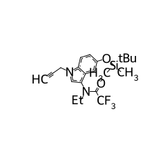 C#CCn1cc(N(CC)C(=O)C(F)(F)F)c2cc(O[Si](C)(C)C(C)(C)C)ccc21